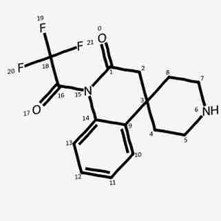 O=C1CC2(CCNCC2)c2ccccc2N1C(=O)C(F)(F)F